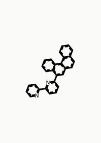 c1ccc(-c2cccc(-c3cc4ccc5ccccc5c4c4ccccc34)n2)nc1